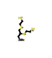 CSCC(CSCCS)SCCS